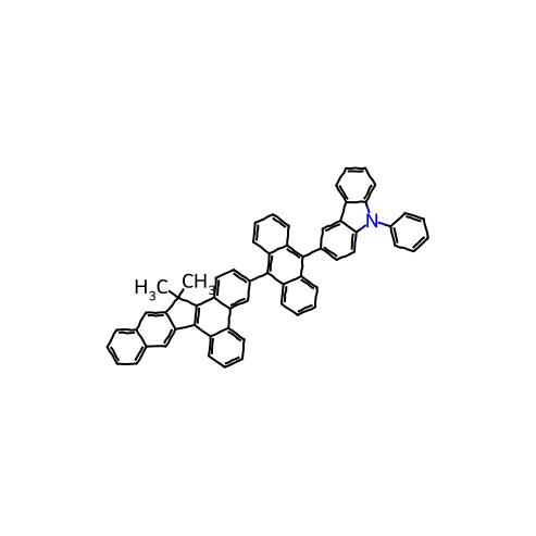 CC1(C)c2cc3ccccc3cc2-c2c1c1ccc(-c3c4ccccc4c(-c4ccc5c(c4)c4ccccc4n5-c4ccccc4)c4ccccc34)cc1c1ccccc21